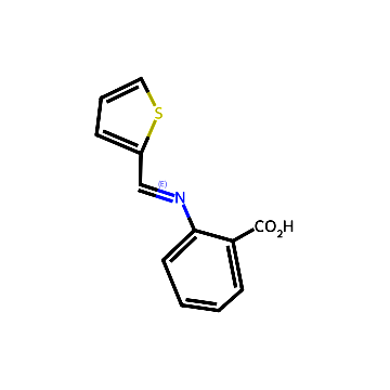 O=C(O)c1ccccc1/N=C/c1cccs1